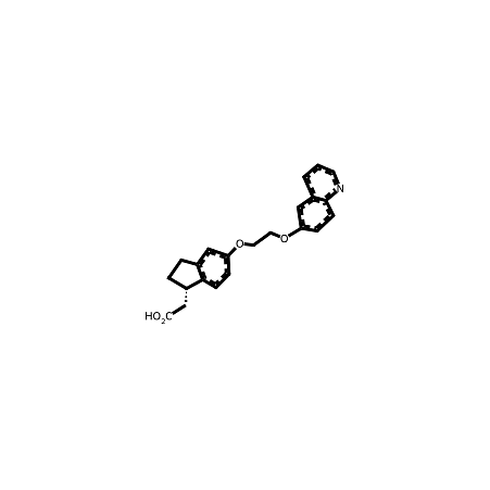 O=C(O)C[C@@H]1CCc2cc(OCCOc3ccc4ncccc4c3)ccc21